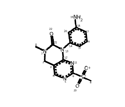 CN1Cc2cnc(S(C)(=O)=O)nc2N(c2cccc(N)c2)C1=O